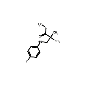 COC(=O)C(C)(N)CNc1ccc(F)cc1